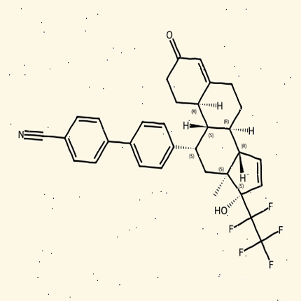 C[C@]12C[C@H](c3ccc(-c4ccc(C#N)cc4)cc3)[C@H]3[C@@H](CCC4=CC(=O)CC[C@@H]43)[C@@H]1C=C[C@@]2(O)C(F)(F)C(F)(F)F